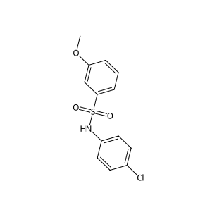 COc1cccc(S(=O)(=O)Nc2ccc(Cl)cc2)c1